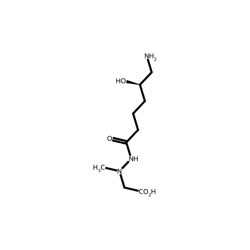 CN(CC(=O)O)NC(=O)CCC[C@@H](O)CN